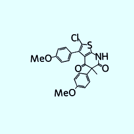 COc1ccc(-c2c(Cl)sc3c2C(=O)C(C)(c2ccc(OC)cc2)C(=O)N3)cc1